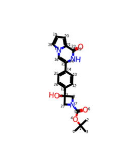 CC(C)(C)OC(=O)N1CC(O)(c2ccc(-c3cn4cccc4c(=O)[nH]3)cc2)C1